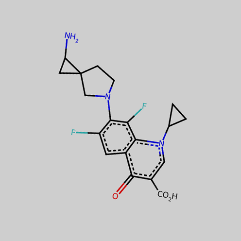 NC1CC12CCN(c1c(F)cc3c(=O)c(C(=O)O)cn(C4CC4)c3c1F)C2